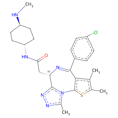 CN[C@H]1CC[C@H](NC(=O)C[C@@H]2N=C(c3ccc(Cl)cc3)c3c(sc(C)c3C)-n3c(C)nnc32)CC1